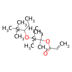 C=CC(=O)OC(C)(CC)[Si](C)(C)OC(CC)[Si](C)(C)C